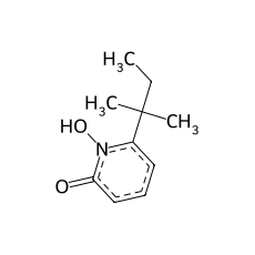 CCC(C)(C)c1cccc(=O)n1O